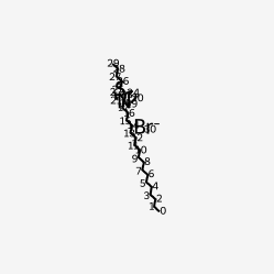 CCCCCCCCCCCCCCCCCC[N+](CC)(CC)C(C)SCCCC.[Br-]